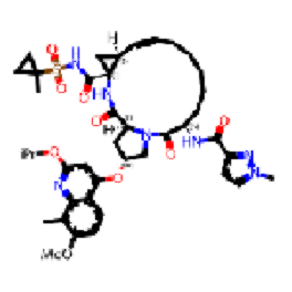 COc1ccc2c(O[C@@H]3C[C@H]4C(=O)N[C@]5(C(=O)NS(=O)(=O)C6(C)CC6)C[C@H]5C=CCCCCC[C@H](NC(=O)c5ccn(C)n5)C(=O)N4C3)cc(OC(C)C)nc2c1C